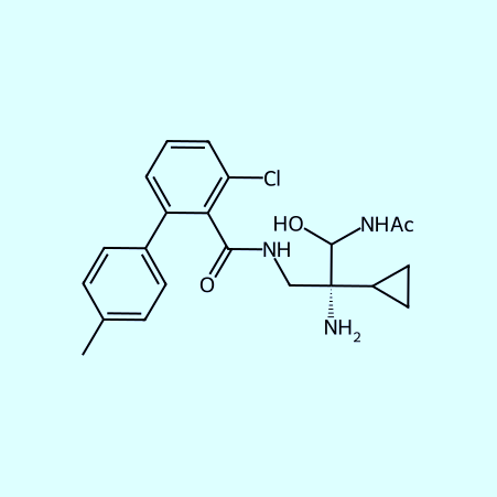 CC(=O)NC(O)[C@](N)(CNC(=O)c1c(Cl)cccc1-c1ccc(C)cc1)C1CC1